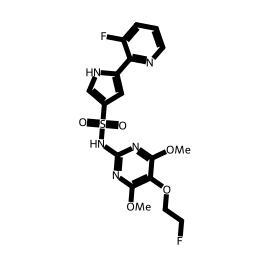 COc1nc(NS(=O)(=O)c2c[nH]c(-c3ncccc3F)c2)nc(OC)c1OCCF